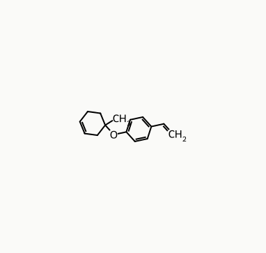 C=Cc1ccc(OC2(C)CC=CCC2)cc1